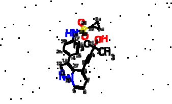 CC(C)(O)C#Cc1cccn2ncc(-c3ccc(NS(=O)(=O)C4CC4)cc3)c12